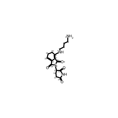 NCCCCNC1=C2C(=O)N(C3CCC(=O)NC3=O)C(=O)C2=CCC1